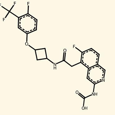 O=C(O)Nc1cc2c(CC(=O)NC3CC(Oc4ccc(F)c(C(F)(F)F)c4)C3)c(F)ccc2cn1